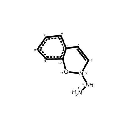 NNN1C=Cc2ccccc2O1